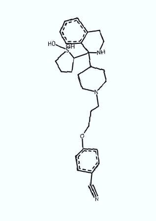 N#Cc1ccc(OCCCN2CCC(C3(C4CCCS4(O)O)NCCc4ccccc43)CC2)cc1